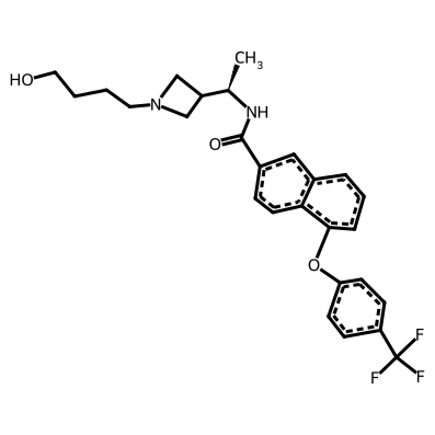 C[C@@H](NC(=O)c1ccc2c(Oc3ccc(C(F)(F)F)cc3)cccc2c1)C1CN(CCCCO)C1